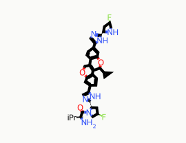 CC(C)[C@H](N)C(=O)N1C[C@H](F)C[C@H]1c1ncc(-c2ccc3c(c2)OCC2=C3C(C3CC3)Oc3cc(-c4cnc([C@@H]5C[C@@H](F)CN5)[nH]4)ccc32)[nH]1